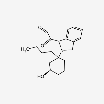 CCCCC1(N2Cc3ccccc3C2C(=O)C=O)CCC[C@@H](O)C1